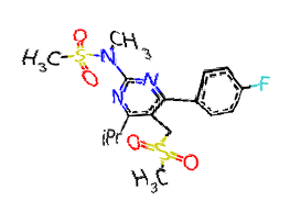 CC(C)c1nc(N(C)S(C)(=O)=O)nc(-c2ccc(F)cc2)c1CS(C)(=O)=O